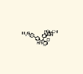 C#CC(=O)Nc1cc(-c2c(C3=CCC(N4CCN(C)CC4)C=C3)[nH]c3nccc(Cl)c23)ccc1C